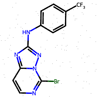 FC(F)(F)c1ccc(Nc2nc3ccnc(Br)n3n2)cc1